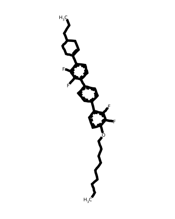 CCCCCCCCCOc1ccc(-c2ccc(-c3ccc(C4=CCC(CCC)CC4)c(F)c3F)cc2)c(F)c1F